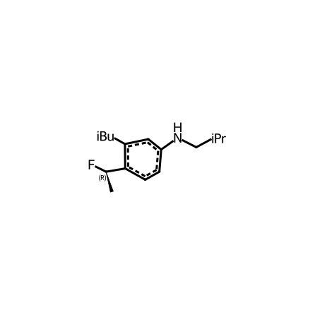 CCC(C)c1cc(NCC(C)C)ccc1[C@@H](C)F